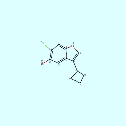 Fc1cc2occ(C3CCC3)c2cc1Br